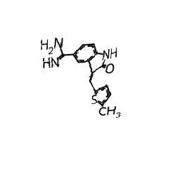 Cc1ccc(C=C2C(=O)Nc3ccc(C(=N)N)cc32)s1